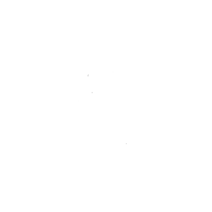 CC(C)(C)C[C@H]1CC[C@@H](Cc2ccc(C(C)(C)C)cc2)O1